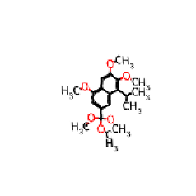 COc1cc2c(OC)cc(C(OC)(OC)OC)cc2c(C(C)C)c1OC